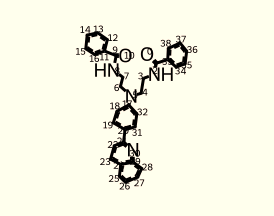 O=C(NCCN(CCNC(=O)c1ccccc1)c1ccc(-c2ccc3ccccc3n2)cc1)c1ccccc1